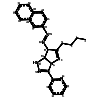 CCCCC1=NN2C(c3ccccn3)=NNC2C1N=Nc1ccc2ccccc2c1